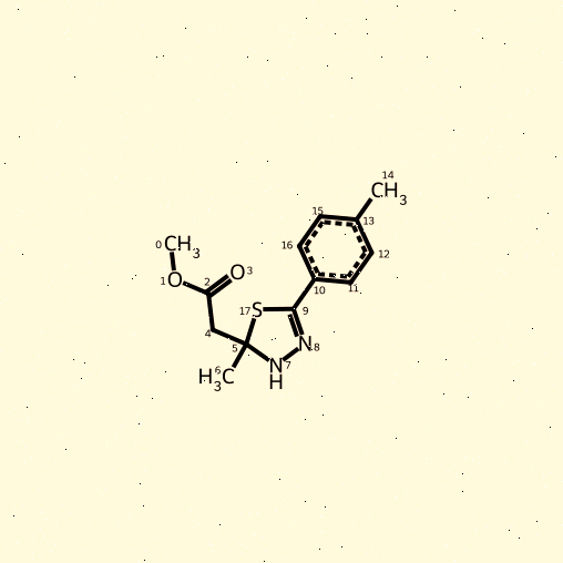 COC(=O)CC1(C)NN=C(c2ccc(C)cc2)S1